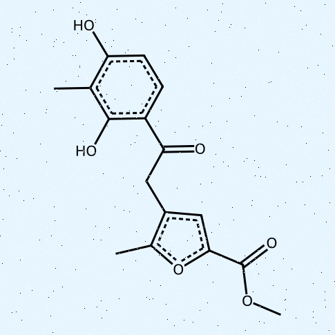 COC(=O)c1cc(CC(=O)c2ccc(O)c(C)c2O)c(C)o1